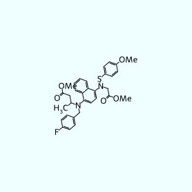 COC(=O)CC(C)N(Cc1ccc(F)cc1)c1ccc(N(CC(=O)OC)Sc2ccc(OC)cc2)c2ccccc12